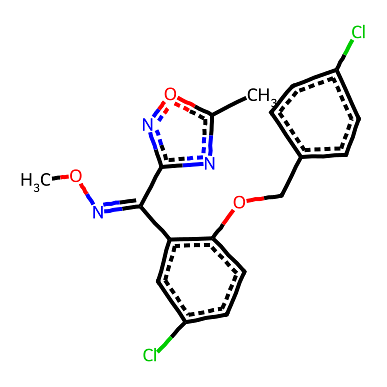 CON=C(c1noc(C)n1)c1cc(Cl)ccc1OCc1ccc(Cl)cc1